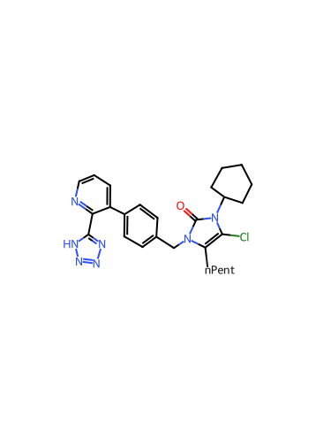 CCCCCc1c(Cl)n(C2CCCCC2)c(=O)n1Cc1ccc(-c2cccnc2-c2nnn[nH]2)cc1